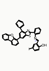 Oc1ccc(I)cc1/C=N/c1ccccc1-c1nc2c(-c3ccccc3)cc(-c3cccc4c3oc3ccccc34)cc2s1